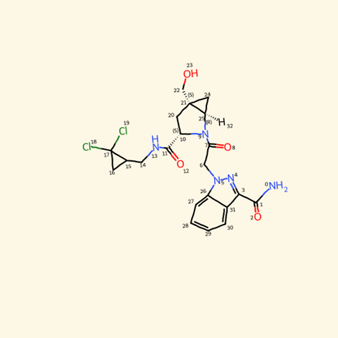 NC(=O)c1nn(CC(=O)N2[C@H](C(=O)NCC3CC3(Cl)Cl)C[C@@]3(CO)C[C@@H]23)c2ccccc12